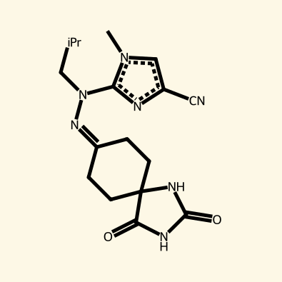 CC(C)CN(N=C1CCC2(CC1)NC(=O)NC2=O)c1nc(C#N)cn1C